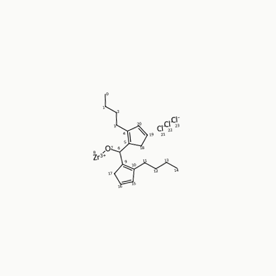 CCCCC1=C(C([O][Zr+3])C2=C(CCCC)C=CC2)CC=C1.[Cl-].[Cl-].[Cl-]